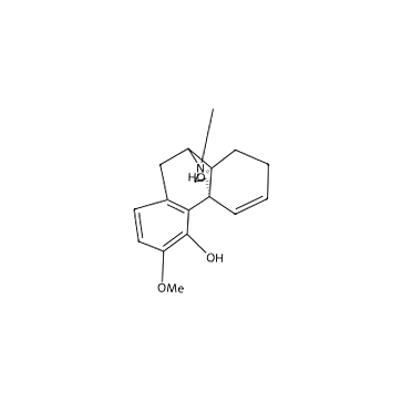 COc1ccc2c(c1O)[C@]13C=CCC[C@]1(O)C(C2)N(C)CC3